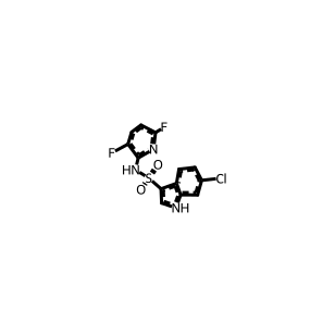 O=S(=O)(Nc1nc(F)ccc1F)c1c[nH]c2cc(Cl)ccc12